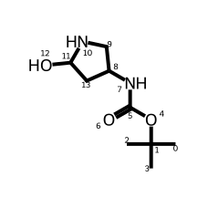 CC(C)(C)OC(=O)NC1CNC(O)C1